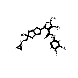 Cn1nc(C2CC3CC(O)(CSC4CC4)CC3C2)c(C(=O)Nc2ccc(F)c(Cl)c2)c1N